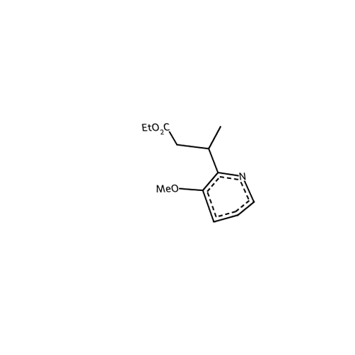 CCOC(=O)CC(C)c1ncccc1OC